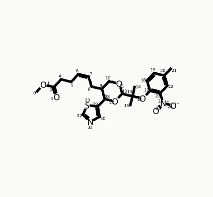 COC(=O)CC/C=C\CC1COC(C(C)(C)Oc2ccc(C)cc2[N+](=O)[O-])OC1c1cncs1